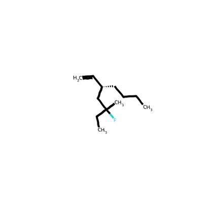 C=C[C@H](CCCC)CC(C)(F)CC